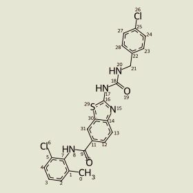 Cc1cccc(Cl)c1NC(=O)c1ccc2nc(NC(=O)NCc3ccc(Cl)cc3)sc2c1